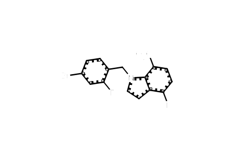 O=C(O)c1ccc(F)c2ccn(Cc3ccc(Br)cc3F)c12